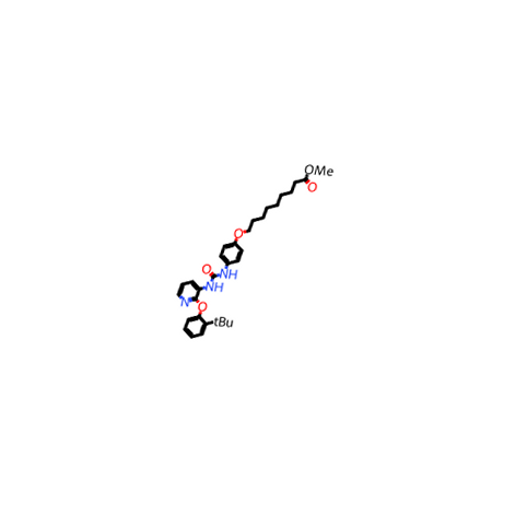 COC(=O)CCCCCCCCOc1ccc(NC(=O)Nc2cccnc2Oc2ccccc2C(C)(C)C)cc1